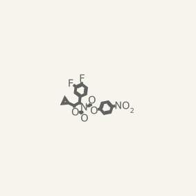 O=C(Oc1ccc([N+](=O)[O-])cc1)N1C(=O)OC(C2CC2)C1c1ccc(F)c(F)c1